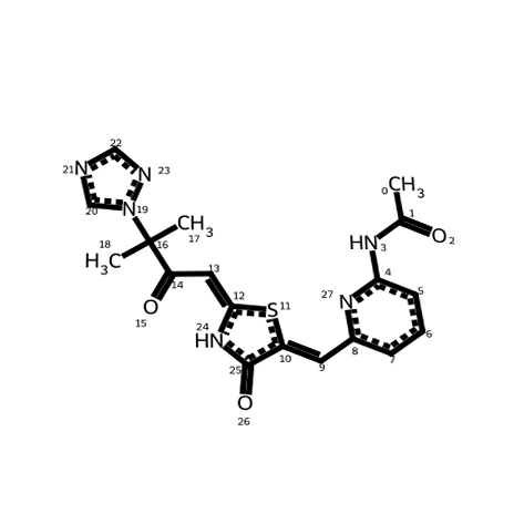 CC(=O)Nc1cccc(/C=c2\s/c(=C/C(=O)C(C)(C)n3cncn3)[nH]c2=O)n1